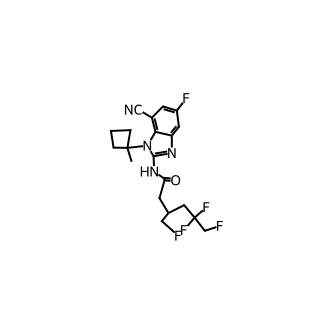 CC1(n2c(NC(=O)CC(CF)CC(F)(F)CF)nc3cc(F)cc(C#N)c32)CCC1